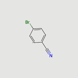 N#Cc1[c]cc(Br)cc1